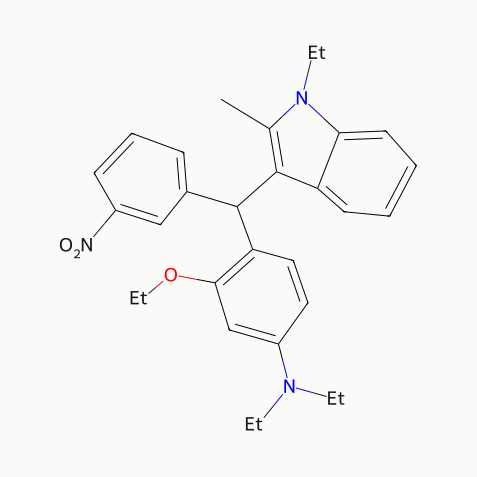 CCOc1cc(N(CC)CC)ccc1C(c1cccc([N+](=O)[O-])c1)c1c(C)n(CC)c2ccccc12